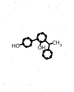 CC(c1ccccc1)c1cccc(-c2ccc(O)cc2)c1O